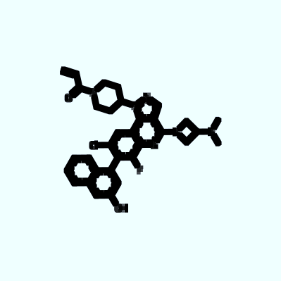 C=CC(=O)N1CCC(n2ncc3c(N4CC(N(C)C)C4)nc4c(F)c(-c5cc(O)cc6ccccc56)c(Cl)cc4c32)CC1